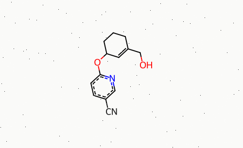 N#Cc1ccc(OC2C=C(CO)CCC2)nc1